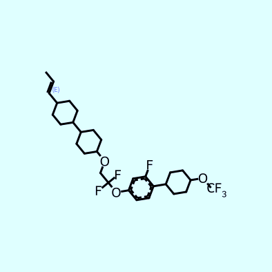 C/C=C/C1CCC(C2CCC(OCC(F)(F)Oc3ccc(C4CCC(OC(F)(F)F)CC4)c(F)c3)CC2)CC1